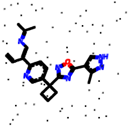 C=C/C(=C\N=C(C)C)c1ccc(C2(c3noc(-c4c[nH]nc4C)n3)CCC2)cn1